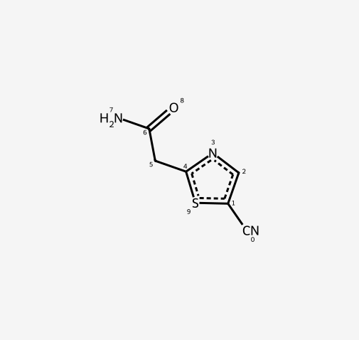 N#Cc1cnc(CC(N)=O)s1